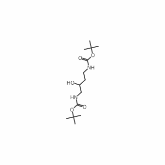 CC(C)(C)OC(=O)NCCC(O)CNC(=O)OC(C)(C)C